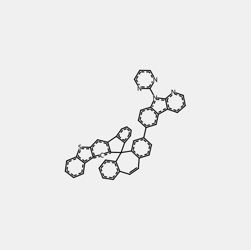 C1=Cc2ccc(-c3ccc4c(c3)c3cccnc3n4-c3ncccn3)cc2C2(c3ccccc31)c1ccccc1-c1cc3sc4ccccc4c3cc12